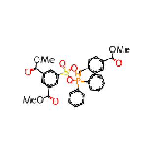 COC(=O)c1ccc(C[PH](OS(=O)(=O)c2cc(C(=O)OC)cc(C(=O)OC)c2)(c2ccccc2)c2ccccc2)cc1